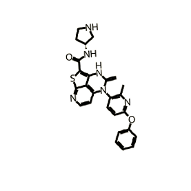 C=c1[nH]c2c(C(=O)N[C@@H]3CCNC3)sc3nccc(c32)n1-c1ccc(Oc2ccccc2)nc1C